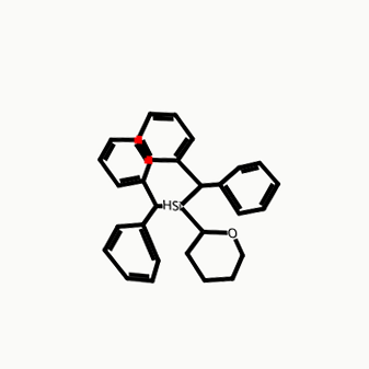 c1ccc(C(c2ccccc2)[SiH](C2CCCCO2)C(c2ccccc2)c2ccccc2)cc1